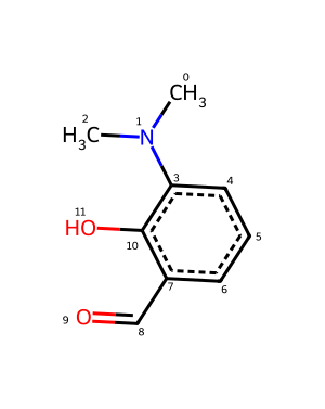 CN(C)c1cccc(C=O)c1O